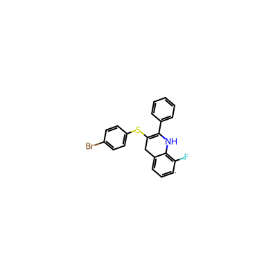 Fc1[c]ccc2c1NC(c1ccccc1)=C(Sc1ccc(Br)cc1)C2